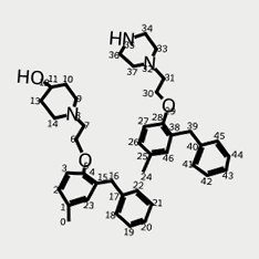 Cc1ccc(OCCN2CCC(O)CC2)c(Cc2ccccc2)c1.Cc1ccc(OCCN2CCNCC2)c(Cc2ccccc2)c1